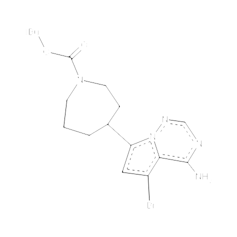 CC(C)(C)OC(=O)N1CCCC(c2cc(Br)c3c(N)ncnn23)CC1